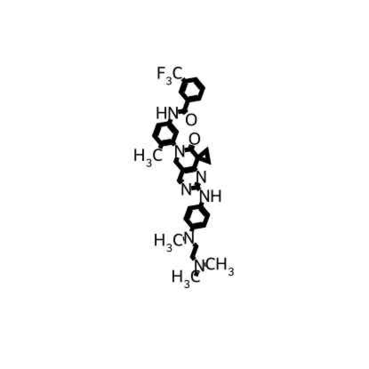 Cc1ccc(NC(=O)c2cccc(C(F)(F)F)c2)cc1N1Cc2cnc(Nc3ccc(N(C)CCN(C)C)cc3)nc2C2(CC2)C1=O